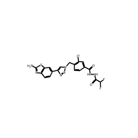 Nc1nc2ccc(-c3cn(Cc4ccc(C(=O)NNC(=O)C(F)F)cc4Cl)nn3)cc2s1